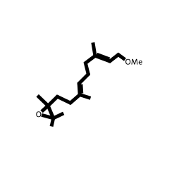 COCC=C(C)CCC=C(C)CCC1(C)OC1(C)C